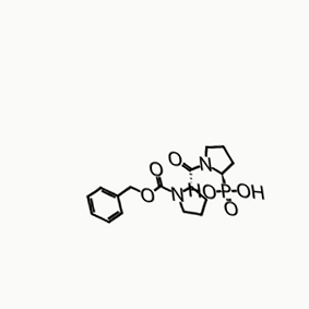 O=C([C@@H]1CCCN1C(=O)OCc1ccccc1)N1CCC[C@H]1P(=O)(O)O